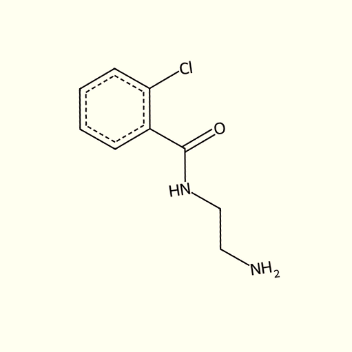 NCCNC(=O)c1ccccc1Cl